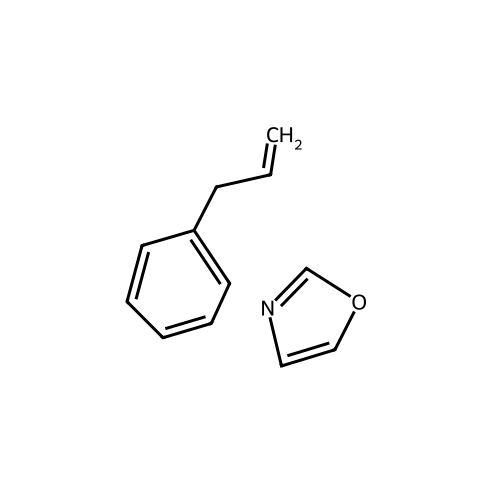 C=CCc1ccccc1.c1cocn1